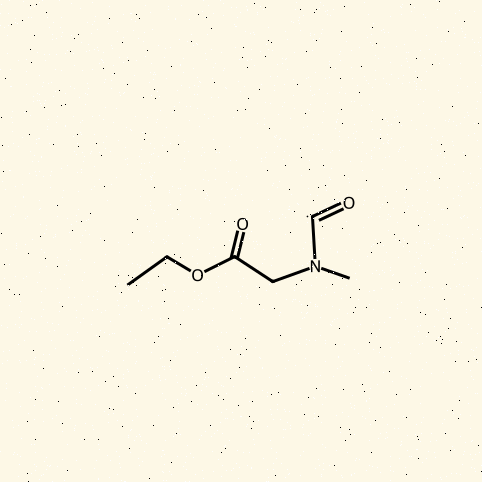 CCOC(=O)CN(C)[C]=O